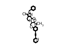 CN1C(=O)[C@H](N2CCc3c(nn(Cc4ccccc4)c3Cl)C2=O)COc2cc(C#Cc3ccccn3)ccc21